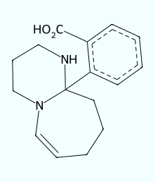 O=C(O)c1ccccc1C12CCCC=CN1CCCN2